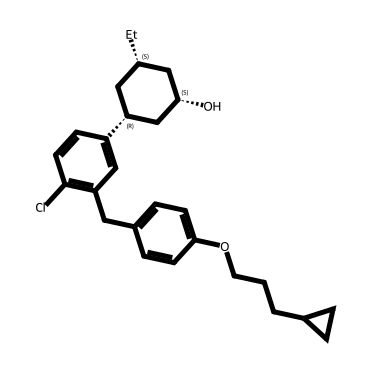 CC[C@@H]1C[C@H](O)C[C@H](c2ccc(Cl)c(Cc3ccc(OCCCC4CC4)cc3)c2)C1